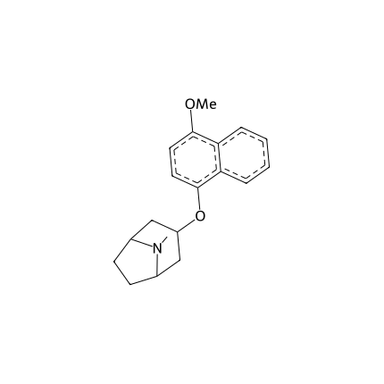 COc1ccc(OC2CC3CCC(C2)N3C)c2ccccc12